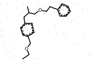 CCOCc1ccc(CC(C)COCCc2ccccc2)cc1